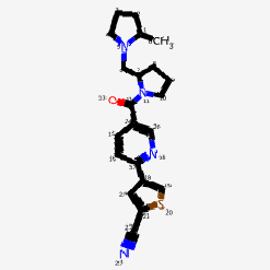 CC1CCCN1CC1CCCN1C(=O)c1ccc(-c2csc(C#N)c2)nc1